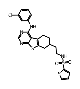 O=S(=O)(NCCC1CCc2c(sc3ncnc(Nc4cccc(Cl)c4)c23)C1)c1cccs1